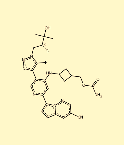 CC(C)(O)[C@H](F)Cn1nnc(-c2cnc(-c3ccc4cc(C#N)cnn34)cc2NC2CC(COC(N)=O)C2)c1F